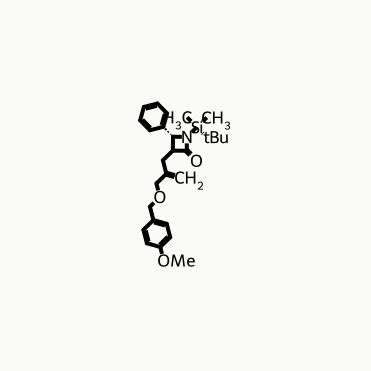 C=C(COCc1ccc(OC)cc1)CC1C(=O)N([Si](C)(C)C(C)(C)C)[C@H]1c1ccccc1